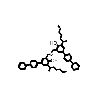 CCCCCC(C)c1cc(-c2ccc(-c3ccccc3)cc2)cc(CSCc2cc(-c3ccc(-c4ccccc4)cc3)cc(C(C)CCCCC)c2O)c1O